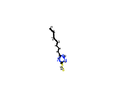 CCCCCCCC1=NC(=S)N=N1